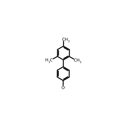 Cc1cc(C)c(-c2ccc([O])cc2)c(C)c1